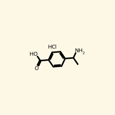 CC(N)c1ccc(C(=O)O)cc1.Cl